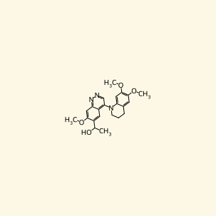 COc1cc2c(cc1OC)N(c1cnnc3cc(OC)c(C(C)O)cc13)CCC2